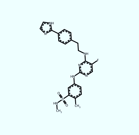 CNS(=O)(=O)c1cc(Nc2ncc(F)c(NCCc3ccc(-c4ncc[nH]4)cc3)n2)ccc1C